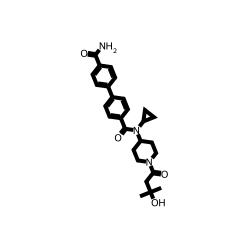 CC(C)(O)CC(=O)N1CCC(N(C(=O)c2ccc(-c3ccc(C(N)=O)cc3)cc2)C2CC2)CC1